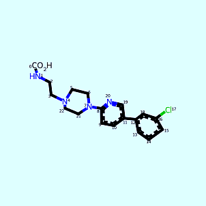 O=C(O)NCCN1CCN(c2ccc(-c3cccc(Cl)c3)cn2)CC1